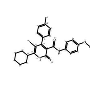 CCOc1ccc(NC(=O)c2c(-c3ccc(C)cc3)c(I)c(C3CCCCC3)[nH]c2=O)cc1